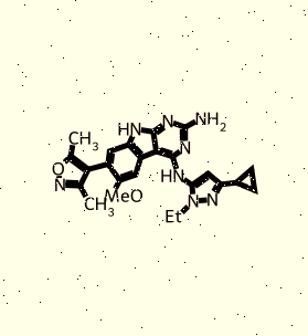 CCn1nc(C2CC2)cc1Nc1nc(N)nc2[nH]c3cc(-c4c(C)noc4C)c(OC)cc3c12